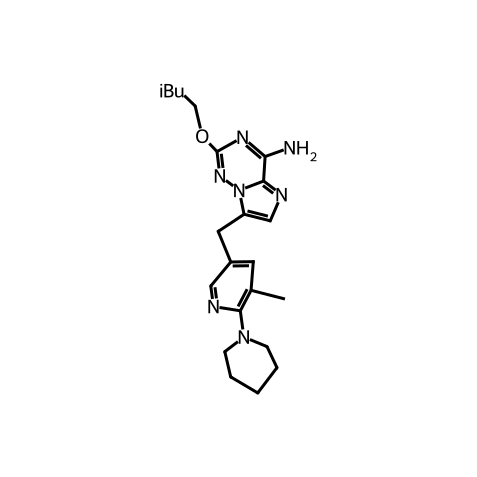 CCC(C)COc1nc(N)c2ncc(Cc3cnc(N4CCCCC4)c(C)c3)n2n1